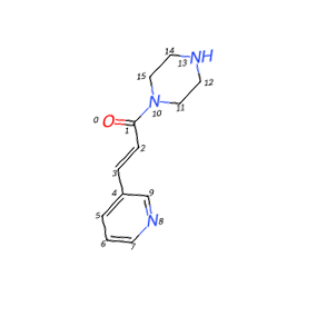 O=C(C=Cc1cccnc1)N1CCNCC1